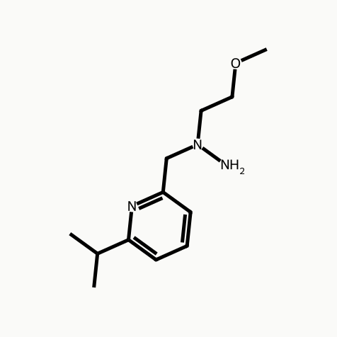 COCCN(N)Cc1cccc(C(C)C)n1